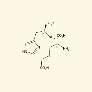 N[C@@H](Cc1c[nH]cn1)C(=O)O.N[C@H](CSCC(=O)O)C(=O)O